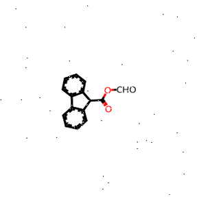 O=COC(=O)C1c2ccccc2-c2ccccc21